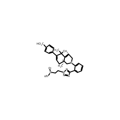 CCCN(CC)CCn1nnc(-c2ccccc2N2CC=C3C(C)(C)C(c4ccc(C(=O)O)cc4)=CC[C@]3(C)C2)n1